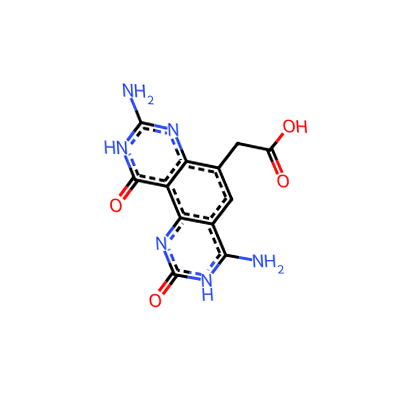 Nc1nc2c(CC(=O)O)cc3c(N)[nH]c(=O)nc3c2c(=O)[nH]1